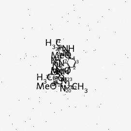 COc1cccc(OC)c1-n1c(NS(=O)(=O)[C@@H](C)[C@H](OC)c2ncc(C)cn2)nnc1-c1cc(C)[nH]n1